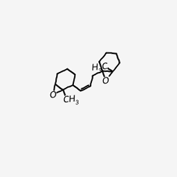 CC12OC1CCCC2/C=C\CC12CCCCC1(C)O2